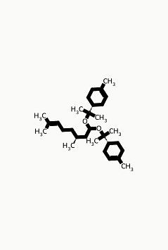 CC(C)=CCC[C@@H](C)CC(OC(C)(C)[C@H]1CC=C(C)CC1)OC(C)(C)[C@H]1CC=C(C)CC1